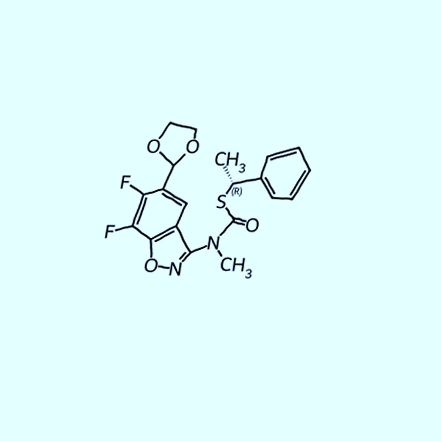 C[C@@H](SC(=O)N(C)c1noc2c(F)c(F)c(C3OCCO3)cc12)c1ccccc1